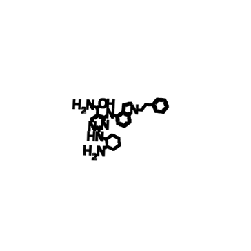 NC(=O)c1cnc(NC2CCCCC2N)nc1Nc1cccc2c1ccn2CCc1ccccc1